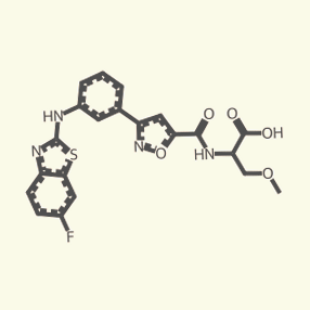 COCC(NC(=O)c1cc(-c2cccc(Nc3nc4ccc(F)cc4s3)c2)no1)C(=O)O